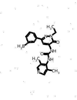 Bc1cccc(-c2cc(NC(=O)Nc3c(C)cncc3C)c(=O)n(CC)n2)c1